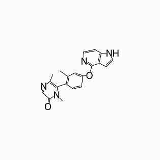 Cc1cc(Oc2nccc3[nH]ccc23)ccc1-c1c(C)ncc(=O)n1C